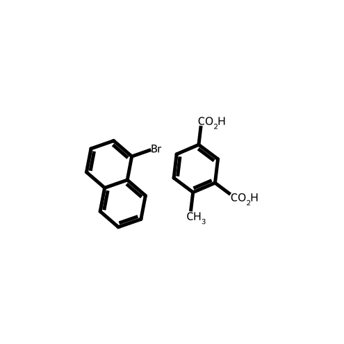 Brc1cccc2ccccc12.Cc1ccc(C(=O)O)cc1C(=O)O